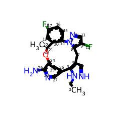 CCN/C1=C(\C=N)Cc2c(F)cnn2-c2ccc(F)cc2[C@@H](C)Oc2cc1cnc2N